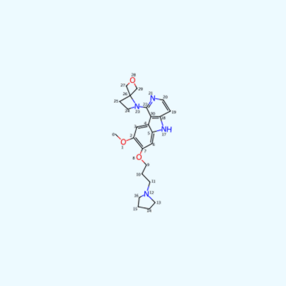 COc1cc2c(cc1OCCCN1CCCC1)[nH]c1ccnc(N3CCC34COC4)c12